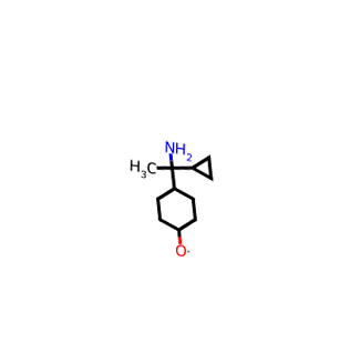 CC(N)(C1CCC([O])CC1)C1CC1